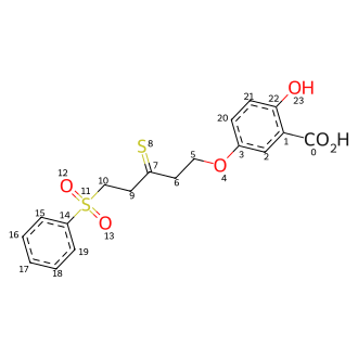 O=C(O)c1cc(OCCC(=S)CCS(=O)(=O)c2ccccc2)ccc1O